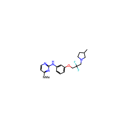 CNc1ccnc(Nc2cccc(OCC(F)(F)CN3CCC(C)C3)c2)n1